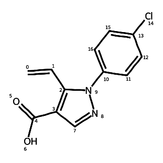 C=Cc1c(C(=O)O)cnn1-c1ccc(Cl)cc1